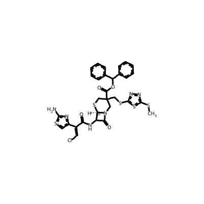 CSc1nnc(SCC2(C(=O)OC(c3ccccc3)c3ccccc3)CS[C@@H]3C(NC(=O)C(=CCl)c4csc(N)n4)C(=O)N3C2)s1